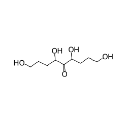 O=C(C(O)CCCO)C(O)CCCO